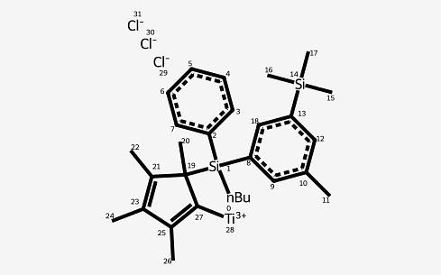 CCCC[Si](c1ccccc1)(c1cc(C)cc([Si](C)(C)C)c1)C1(C)C(C)=C(C)C(C)=[C]1[Ti+3].[Cl-].[Cl-].[Cl-]